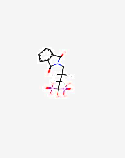 CC(C)(CN1C(=O)c2ccccc2C1=O)C(C)(C)C(O)(P(=O)(O)O)P(=O)(O)O